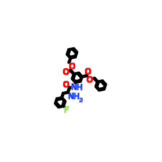 N[C@@H](Cc1cccc(F)c1)C(=O)Nc1cc(C(=O)OCc2ccccc2)cc(C(=O)OCc2ccccc2)c1